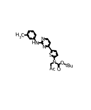 CC(=O)CN(C(=O)OC(C)(C)C)c1ccc(-c2ccnc(Nc3cccc(C)c3)n2)s1